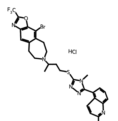 Cc1ccc2c(-c3nnc(SCCC(C)N4CCc5cc6nc(C(F)(F)F)oc6c(Br)c5CC4)n3C)cccc2n1.Cl